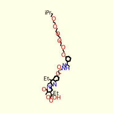 CCc1c2c(nc3ccc(OCC(=O)N/N=C(\C)c4cccc(OCCOCCOCCOCCOCCOCCC(C)C)c4)cc13)-c1cc3c(c(=O)n1C2)COC(=O)[C@]3(O)CC